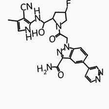 Cc1c[nH]c(NC(O)C2CC(F)CN2C(=O)Cn2nc(C(N)=O)c3cc(-c4ccnnc4)ccc32)c1C#N